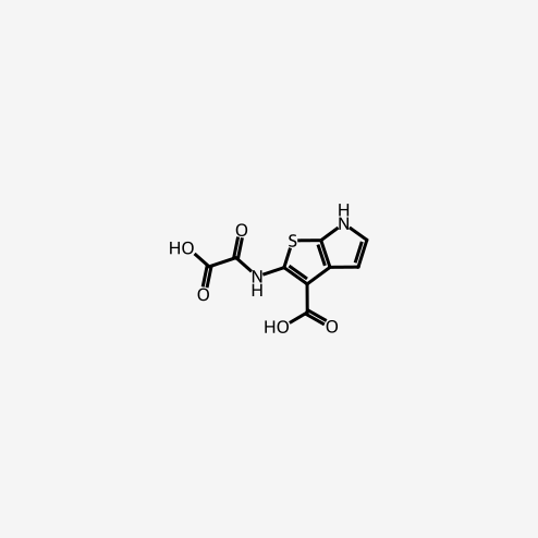 O=C(O)C(=O)Nc1sc2[nH]ccc2c1C(=O)O